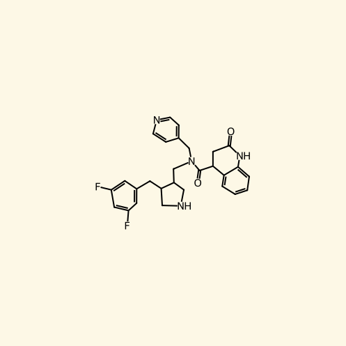 O=C1CC(C(=O)N(Cc2ccncc2)CC2CNCC2Cc2cc(F)cc(F)c2)c2ccccc2N1